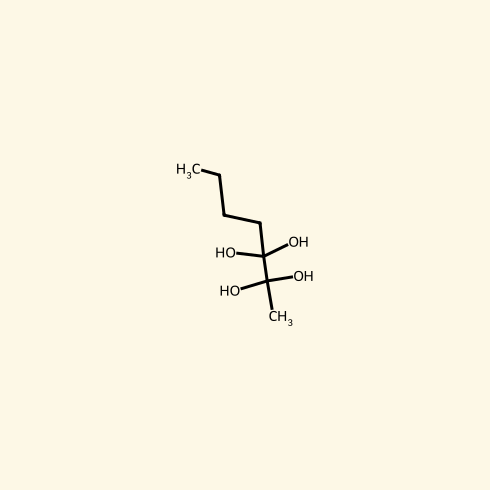 CCCCC(O)(O)C(C)(O)O